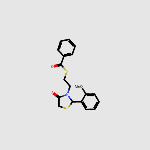 COc1ccccc1C1SCC(=O)N1CCSC(=O)c1ccccc1